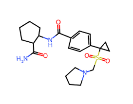 NC(=O)C1CCCCC1NC(=O)c1ccc(C2(S(=O)(=O)CN3CCCC3)CC2)cc1